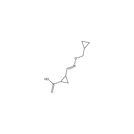 O=C(O)C1CC1C=NOCC1CC1